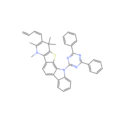 C=C/C=C\C1=C(C)N(C)c2c(sc3c2ccc2c4ccccc4n(-c4nc(-c5ccccc5)nc(-c5ccccc5)n4)c23)C1(C)C